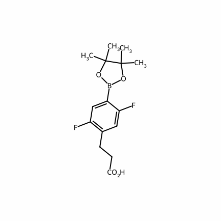 CC1(C)OB(c2cc(F)c(CCC(=O)O)cc2F)OC1(C)C